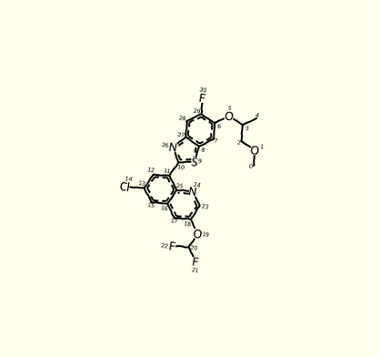 COCC(C)Oc1cc2sc(-c3cc(Cl)cc4cc(OC(F)F)cnc34)nc2cc1F